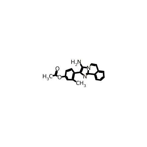 CC(=O)Oc1ccc(-c2nc3c4ccccc4ccn3c2N)c(C)c1